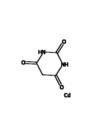 O=C1CC(=O)NC(=O)N1.[Cd]